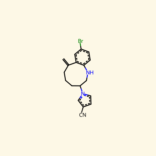 C=C1CCCC(n2ccc(C#N)c2)CNc2ccc(Br)cc21